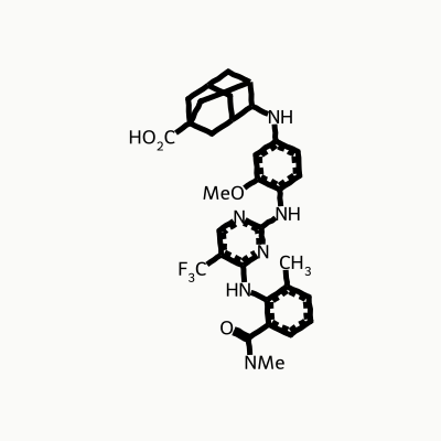 CNC(=O)c1cccc(C)c1Nc1nc(Nc2ccc(NC3C4CC5CC3CC(C(=O)O)(C5)C4)cc2OC)ncc1C(F)(F)F